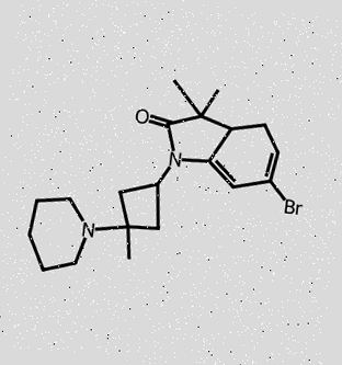 CC1(C)C(=O)N(C2CC(C)(N3CCCCC3)C2)C2=CC(Br)=CCC21